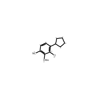 COc1c(C#N)ccc(C2CCCC2)c1Cl